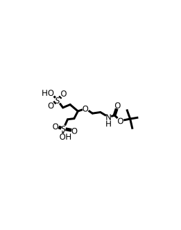 CC(C)(C)OC(=O)NCCOC(CCS(=O)(=O)O)CCS(=O)(=O)O